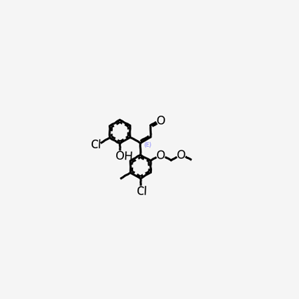 COCOc1cc(Cl)c(C)cc1/C(=C/C=O)c1cccc(Cl)c1O